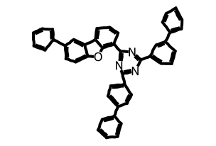 c1ccc(-c2ccc(-c3nc(-c4cccc(-c5ccccc5)c4)nc(-c4cccc5c4oc4ccc(-c6ccccc6)cc45)n3)cc2)cc1